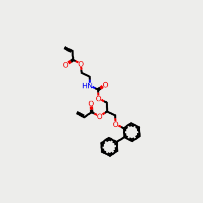 C=CC(=O)OCCNC(=O)OCC(COc1ccccc1-c1ccccc1)OC(=O)C=C